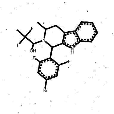 CC1Cc2c([nH]c3ccccc23)C(c2c(F)cc(Br)cc2F)N1C(O)C(C)(F)F